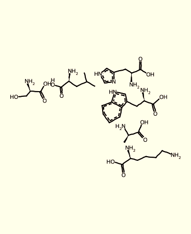 CC(C)C[C@H](N)C(=O)O.C[C@@H](N)C(=O)O.NCCCC[C@H](N)C(=O)O.N[C@@H](Cc1c[nH]cn1)C(=O)O.N[C@H](CO)C(=O)O.N[C@H](Cc1c[nH]c2ccccc12)C(=O)O